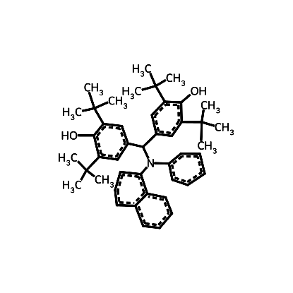 CC(C)(C)c1cc(C(c2cc(C(C)(C)C)c(O)c(C(C)(C)C)c2)N(c2ccccc2)c2cccc3ccccc23)cc(C(C)(C)C)c1O